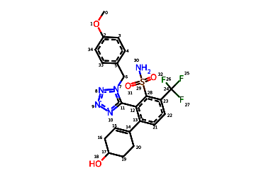 COc1ccc(Cn2nnnc2-c2c(C3=CCC(O)CC3)ccc(C(F)(F)F)c2S(N)(=O)=O)cc1